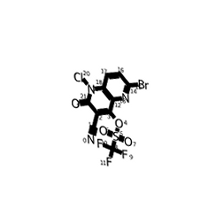 N#Cc1c(OS(=O)(=O)C(F)(F)F)c2nc(Br)ccc2n(Cl)c1=O